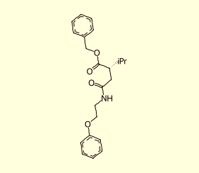 CC(C)[C@H](CC(=O)NCCOc1ccccc1)C(=O)OCc1ccccc1